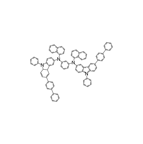 C1=CC2C(C=C1c1ccc(-c3ccccc3)cc1)c1cc(N(c3cccc(N(c4ccc5c(c4)c4cc(-c6ccc(-c7ccccc7)cc6)ccc4n5-c4ccccc4)c4cccc5ccccc45)c3)c3cccc4ccccc34)ccc1N2c1ccccc1